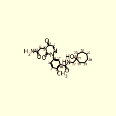 Cc1ccc(-n2ncc(=O)n(CC(N)=O)c2=O)cc1C(=O)NCC1(O)CCCCCC1